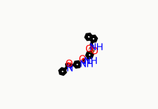 O=C(Nc1ccc(C2=NC(c3ccccc3)CO2)cc1)Nc1ccc(S(=O)(=O)NCc2cccc3ccccc23)cc1